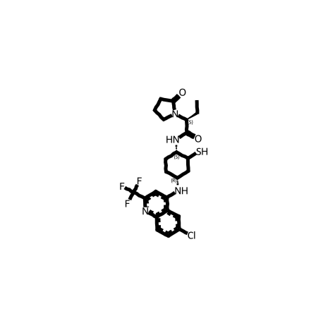 CC[C@@H](C(=O)N[C@H]1CC[C@@H](Nc2cc(C(F)(F)F)nc3ccc(Cl)cc23)CC1S)N1CCCC1=O